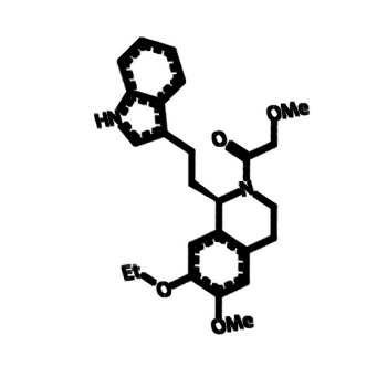 CCOc1cc2c(cc1OC)CCN(C(=O)COC)[C@@H]2CCc1c[nH]c2ccccc12